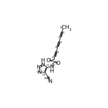 CC#CC#CC#CS(=O)(=O)Nc1[nH]nnc1C#N